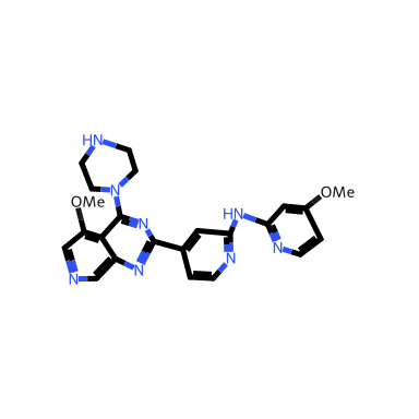 COc1ccnc(Nc2cc(-c3nc(N4CCNCC4)c4c(OC)cncc4n3)ccn2)c1